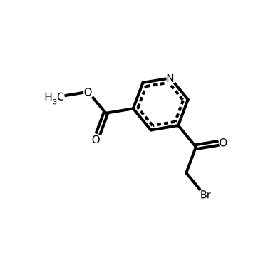 COC(=O)c1cncc(C(=O)CBr)c1